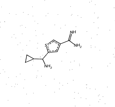 N=C(N)c1csc(C(N)C2CC2)c1